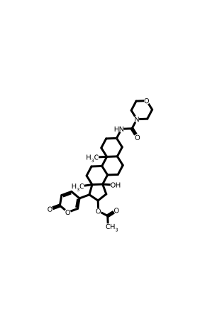 CC(=O)OC1CC2(O)C3CCC4CC(NC(=O)N5CCOCC5)CCC4(C)C3CCC2(C)C1c1ccc(=O)oc1